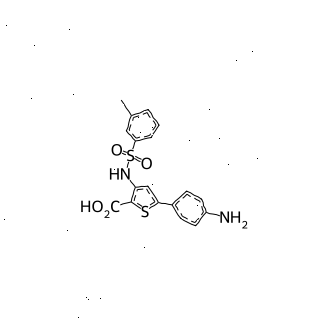 Cc1cccc(S(=O)(=O)Nc2cc(-c3ccc(N)cc3)sc2C(=O)O)c1